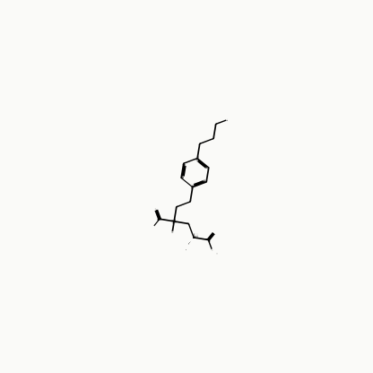 CC(CCc1ccc(CCCF)cc1)(C[C@H](N)C(=O)O)C(=O)O